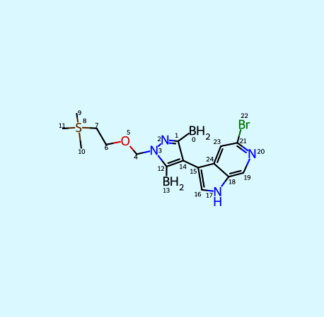 Bc1nn(COCCS(C)(C)C)c(B)c1-c1c[nH]c2cnc(Br)cc12